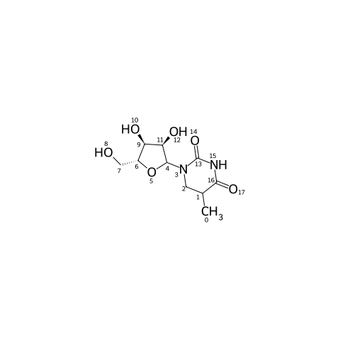 CC1CN(C2O[C@H](CO)[C@@H](O)[C@H]2O)C(=O)NC1=O